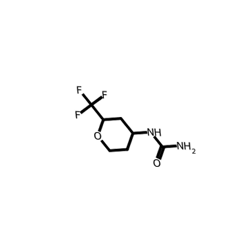 NC(=O)NC1CCOC(C(F)(F)F)C1